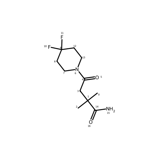 CC(C)([CH]C(=O)N1CCC(F)(F)CC1)C(N)=O